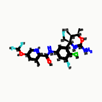 Cc1cc(OC(F)F)cnc1C(=O)Nc1cc(F)c(Cl)c([C@]2(CF)N=C(N)O[C@@H](C)[C@H]2C)c1